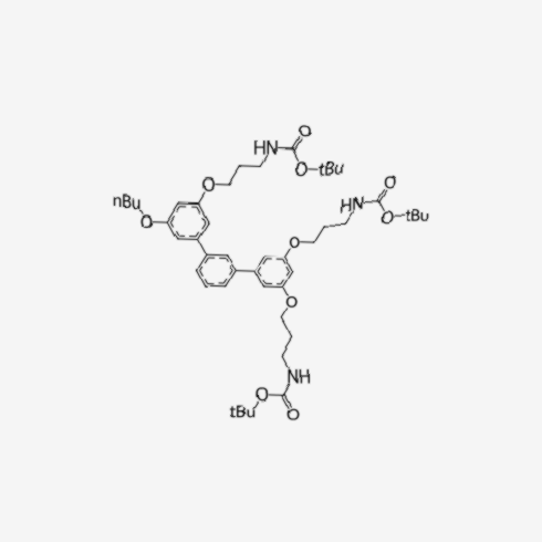 CCCCOc1cc(OCCCNC(=O)OC(C)(C)C)cc(-c2cccc(-c3cc(OCCCNC(=O)OC(C)(C)C)cc(OCCCNC(=O)OC(C)(C)C)c3)c2)c1